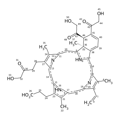 C=CC1=C(C)c2cc3[nH]c(cc4nc(cc5[nH]c(cc1n2)c(C)c5CCC(=O)O)C(CCC(=O)CO)=C4C)[C@]1(C)C3=CC=C(C(=O)CO)[C@@H]1C(=O)CO